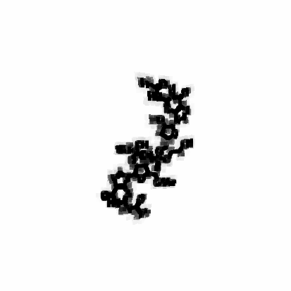 COC[C@H]1O[C@@H](n2cnc3c(=O)[nH]c(NC(=O)C(C)C)nc32)[C@H](O[Si](C)(C)C(C)(C)C)[C@@H]1NP(=S)(OCCC#N)OC[C@@H]1C[C@@H](O)[C@H](n2cnc3c(=O)[nH]c(NC(=O)C(C)C)nc32)O1